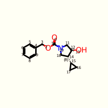 O=C(OCc1ccccc1)N1C[C@@H](O)[C@H](C2CC2)C1